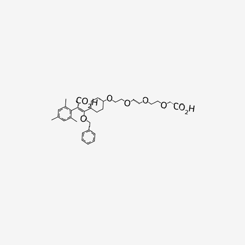 Cc1cc(C)c(/C(C(=O)O)=C(\OCc2ccccc2)C2CCC(OCCOCCOCCOCC(=O)O)CC2)c(C)c1